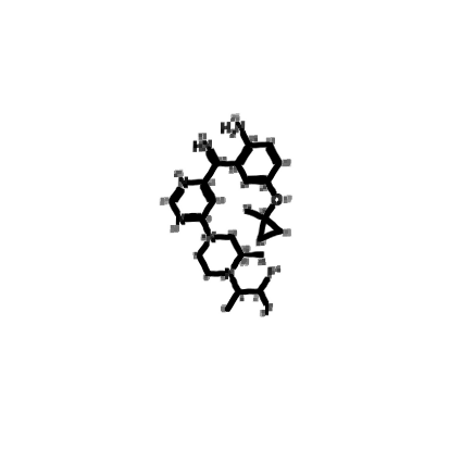 CC(C(F)F)N1CCN(c2cc(C(=N)c3cc(OC4(C)CC4)ccc3N)ncn2)C[C@H]1C